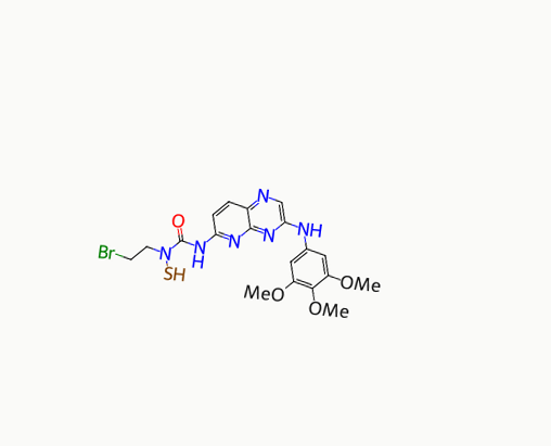 COc1cc(Nc2cnc3ccc(NC(=O)N(S)CCBr)nc3n2)cc(OC)c1OC